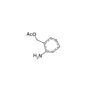 CC(=O)OCc1ccccc1N